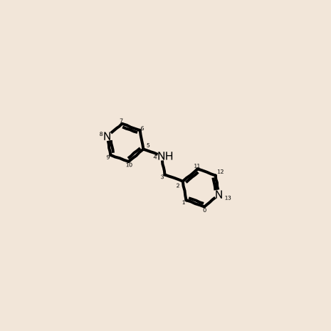 c1cc(CNc2ccncc2)ccn1